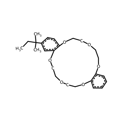 CCC(C)(C)c1ccc2c(c1)OCCOCCOc1ccccc1OCCOCCO2